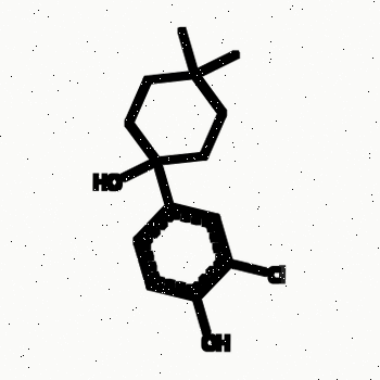 CC1(C)CCC(O)(c2ccc(O)c(Cl)c2)CC1